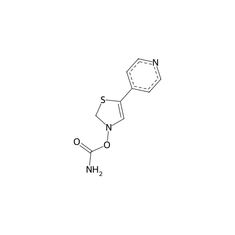 NC(=O)ON1C=C(c2ccncc2)SC1